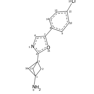 NC12CC(c3ncc(-c4ccc(Cl)cc4)o3)(C1)C2